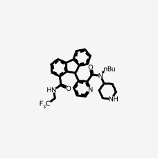 CCCCN(C(=O)c1ncccc1C1c2ccccc2-c2cccc(C(=O)NCC(F)(F)F)c21)C1CCNCC1